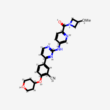 COC1CN(C(=O)c2ccc(Nc3nccc(-c4ccc(OC5CCOCC5)c(C#N)c4)n3)cn2)C1